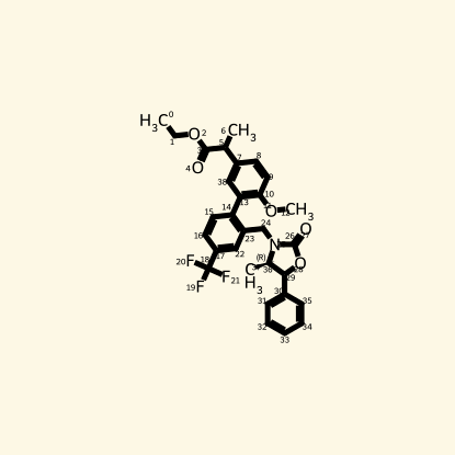 CCOC(=O)C(C)c1ccc(OC)c(-c2ccc(C(F)(F)F)cc2CN2C(=O)OC(c3ccccc3)[C@H]2C)c1